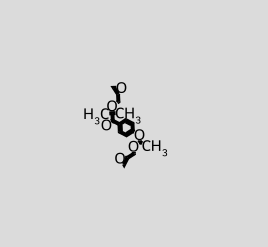 CC(OCC1CO1)Oc1ccc(C(=O)C(C)(C)OCC2CO2)cc1